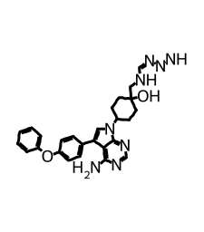 N=N/N=C\NCC1(O)CCC(n2cc(-c3ccc(Oc4ccccc4)cc3)c3c(N)ncnc32)CC1